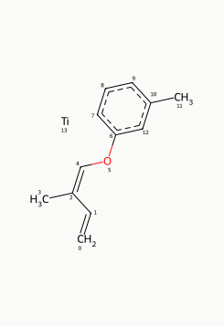 C=CC(C)=COc1cccc(C)c1.[Ti]